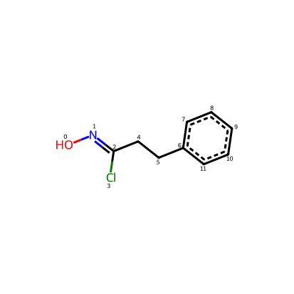 O/N=C(\Cl)CCc1ccccc1